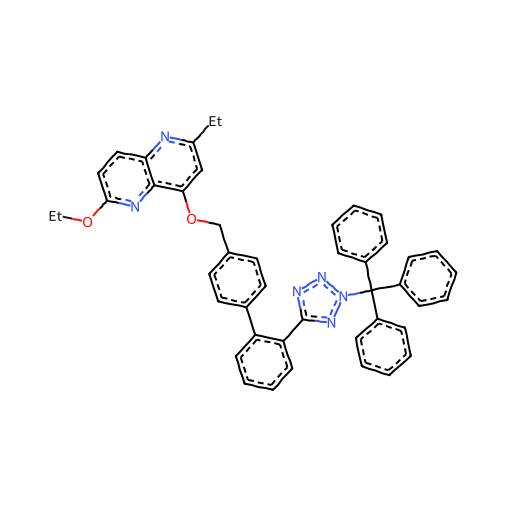 CCOc1ccc2nc(CC)cc(OCc3ccc(-c4ccccc4-c4nnn(C(c5ccccc5)(c5ccccc5)c5ccccc5)n4)cc3)c2n1